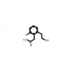 C[C@@H](N)Cc1c(F)cccc1CCO